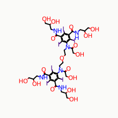 O=C(NCC(O)CO)c1c(I)c(C(=O)NCC(O)CO)c(I)c(N(CCOCCN(C(=O)CO)c2c(I)c(C(=O)NCC(O)CO)c(I)c(C(=O)NCC(O)CO)c2I)C(=O)CO)c1I